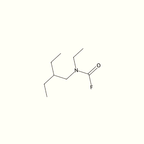 CCC(CC)CN(CC)C(=O)F